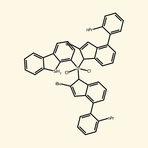 CCCc1ccccc1-c1cccc2c1C=C(C(C)CC)[CH]2[Zr]([Cl])([Cl])([c]1cccc2c1[SiH2]c1ccccc1-2)[CH]1C(C(C)CC)=Cc2c(-c3ccccc3CCC)cccc21